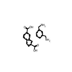 NCc1cccc(CN)c1.O=C(O)c1ccc2ccc(C(=O)O)cc2c1